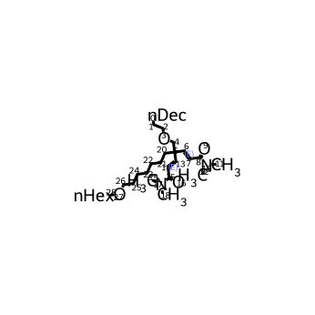 CCCCCCCCCCCCOCC(/C=C/C(=O)N(C)C)(/C=C/C(=O)N(C)C)CCCCCCCOCCCCCC